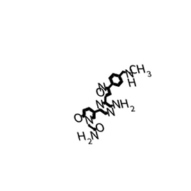 CNCc1ccc(-c2cc(-c3nc(-c4ccc(=O)n(CC(N)=O)c4)cnc3N)on2)cc1